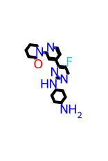 N[C@H]1CC[C@H](Nc2ncc(F)c(-c3ccnc(N4CCCCC4=O)c3)n2)CC1